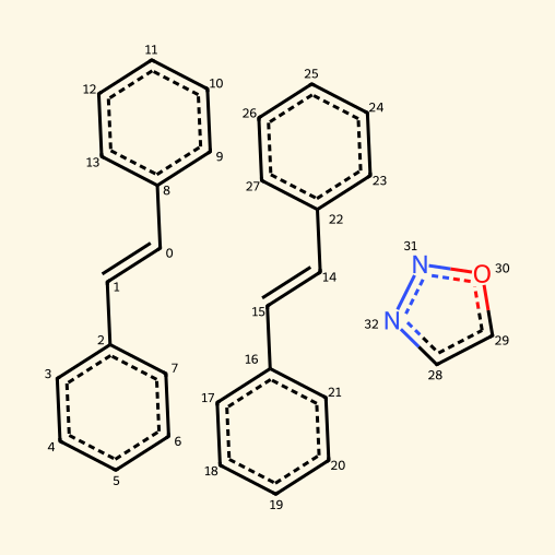 C(=Cc1ccccc1)c1ccccc1.C(=Cc1ccccc1)c1ccccc1.c1conn1